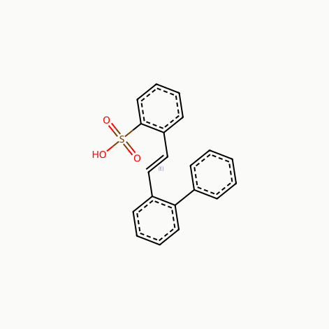 O=S(=O)(O)c1ccccc1/C=C/c1ccccc1-c1ccccc1